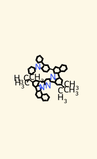 CC(C)(C)c1cc2c3nc4c(cc3n3c5c(-c6ccc7c(c6)c6ccccc6n7-c6ccccc6)cc6ccccc6c5c(c1)c23)c1cc(C(C)(C)C)cc2c3ccc5ccccc5c3n4c12